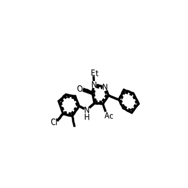 CCn1nc(-c2ccccc2)c(C(C)=O)c(Nc2cccc(Cl)c2C)c1=O